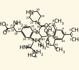 CC(C)c1cc(C(C)C)c(S(=O)(=O)C(C)N(C(=O)N2CCNCC2)c2ccc(C[C@H](N)C(=O)O)cc2NC(=N)N)c(C(C)C)c1.Cl